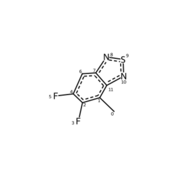 Cc1c(F)c(F)cc2nsnc12